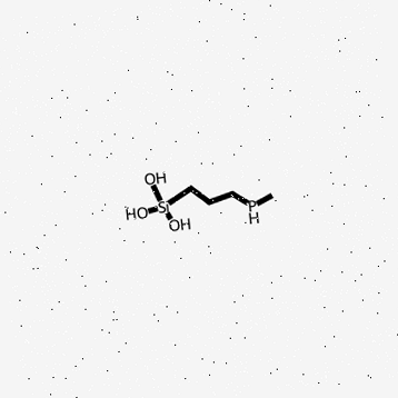 CPCCC[Si](O)(O)O